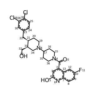 O=C(c1cc(O)nc2ccc(F)cc12)N1CCC(N2CC[C@H](Cc3ccc(Cl)c(Cl)c3)[C@H](CO)C2)CC1